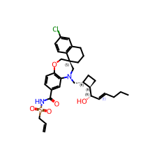 C=CCS(=O)(=O)NC(=O)c1ccc2c(c1)N(C[C@@H]1CC[C@H]1[C@@H](O)/C=C/CCC)C[C@@]1(CCCc3cc(Cl)ccc31)CO2